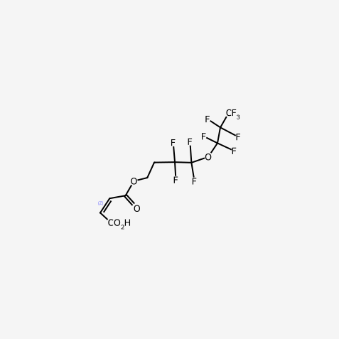 O=C(O)/C=C\C(=O)OCCC(F)(F)C(F)(F)OC(F)(F)C(F)(F)C(F)(F)F